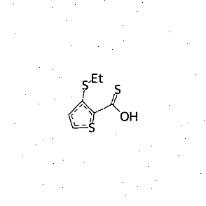 CCSc1ccsc1C(O)=S